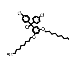 CCCCCCCCCCCCCCCCCCOc1cc(OCCCCCCCCCCCCCCCCCC)cc(C(Cl)(c2ccc(Cl)cc2)c2ccc(Cl)cc2)c1